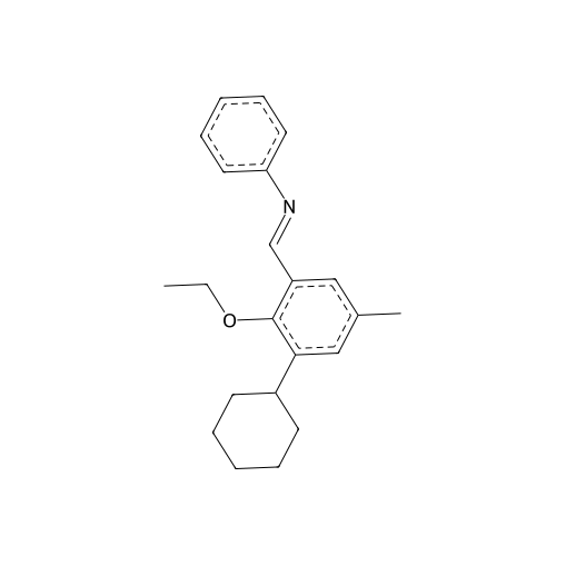 CCOc1c(/C=N/c2ccccc2)cc(C)cc1C1CCCCC1